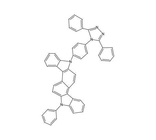 c1ccc(-c2nnc(-c3ccccc3)n2-c2ccc(-n3c4ccccc4c4c5ccc6c(c5ccc43)c3ccccc3n6-c3ccccc3)cc2)cc1